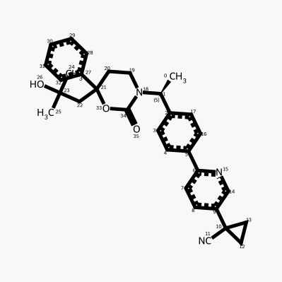 C[C@@H](c1ccc(-c2ccc(C3(C#N)CC3)cn2)cc1)N1CCC(CC(C)(C)O)(c2ccccc2)OC1=O